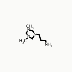 CN1CN(C)CN(CCCN)C1